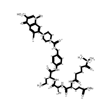 CCn1cc(C(=O)O)c(=O)c2cc(F)c(N3CCN(C(=O)OCc4ccc(NC(=O)[C@H](CCN)NC(=O)[C@@H](NC(=O)[C@H](CCC(=O)OCC(C)C)NC(=O)CCCC(=O)N(C)C)C(C)C)cc4)CC3)cc21